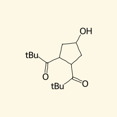 CC(C)(C)C(=O)C1CC(O)CC1C(=O)C(C)(C)C